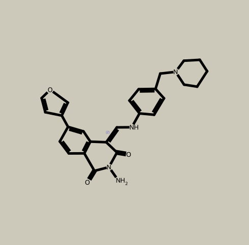 NN1C(=O)/C(=C\Nc2ccc(CN3CCCCC3)cc2)c2cc(-c3ccoc3)ccc2C1=O